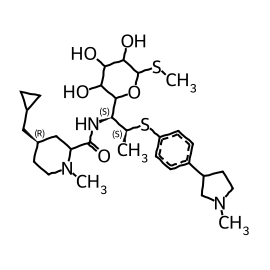 CSC1OC([C@H](NC(=O)C2C[C@H](CC3CC3)CCN2C)[C@H](C)Sc2ccc(C3CCN(C)C3)cc2)C(O)C(O)C1O